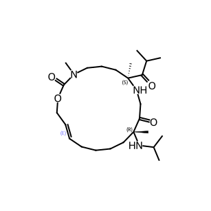 CC(C)N[C@]1(C)CCCC/C=C/COC(=O)N(C)CCC[C@@](C)(C(=O)C(C)C)NCC1=O